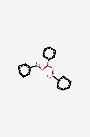 c1ccc([SiH2]O[SiH](O[SiH2]c2ccccc2)c2ccccc2)cc1